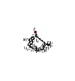 CC[C@@H](O)[C@@H](O)[C@H](COC1OC(COC(=O)C(NC(=O)CC[C@@H](C)C2CCC3C4C(CC[C@@]32C)[C@@]2(C)CC[C@@H](O)CC2C[C@H]4O)C(C)C)C(O)C(O)C1O)NC(=O)CCCCCCCCCCC12CC(F)(C1)C2